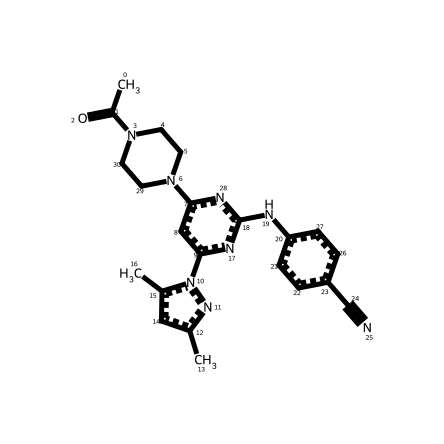 CC(=O)N1CCN(c2cc(-n3nc(C)cc3C)nc(Nc3ccc(C#N)cc3)n2)CC1